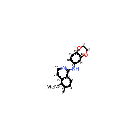 CNc1c(C)ccc2c(Nc3ccc4c(c3)OCCO4)nccc12